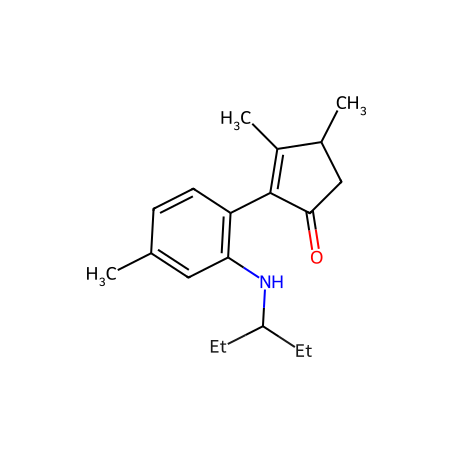 CCC(CC)Nc1cc(C)ccc1C1=C(C)C(C)CC1=O